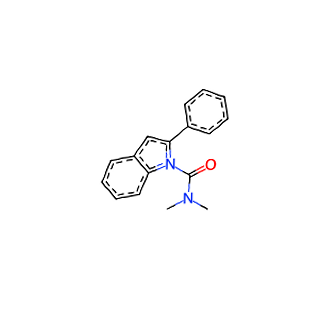 CN(C)C(=O)n1c(-c2ccccc2)cc2ccccc21